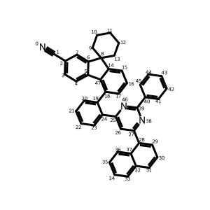 N#Cc1ccc2c(c1)C1(CCCCC1)c1cccc(-c3ccccc3-c3cc(-c4cccc5ccccc45)nc(-c4ccccc4)n3)c1-2